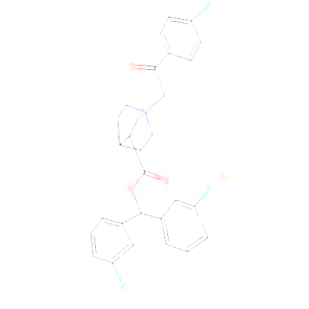 O=C(C[N+]12CCC(CC1)C(C(=O)OC(c1cccc(F)c1)c1cccc(F)c1)C2)c1ccc(F)cc1.[Br-]